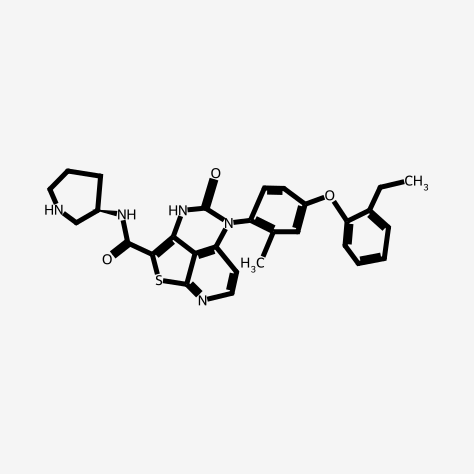 CCc1ccccc1Oc1ccc(N2C(=O)Nc3c(C(=O)N[C@@H]4CCCNC4)sc4nccc2c34)c(C)c1